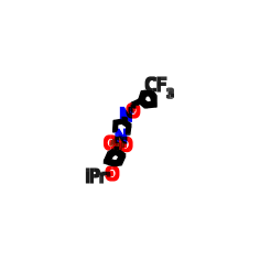 CC(C)Oc1ccc(S(=O)(=O)N2CCC(=NOCc3cccc(C(F)(F)F)c3)CC2)cc1